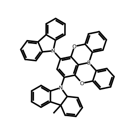 CC12C=CC=CC1N(c1cc(-n3c4ccccc4c4ccccc43)c3c4c1Oc1ccccc1B4c1ccccc1O3)c1ccccc12